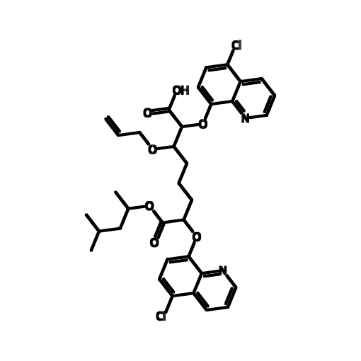 C=CCOC(CCCC(Oc1ccc(Cl)c2cccnc12)C(=O)OC(C)CC(C)C)C(Oc1ccc(Cl)c2cccnc12)C(=O)O